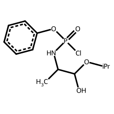 CC(C)OC(O)C(C)NP(=O)(Cl)Oc1ccccc1